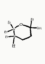 CCC1(O)CC[Si](CC)(CC)[Si](CC)(CC)O1